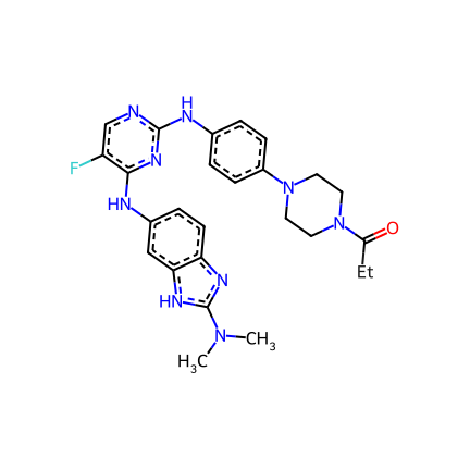 CCC(=O)N1CCN(c2ccc(Nc3ncc(F)c(Nc4ccc5nc(N(C)C)[nH]c5c4)n3)cc2)CC1